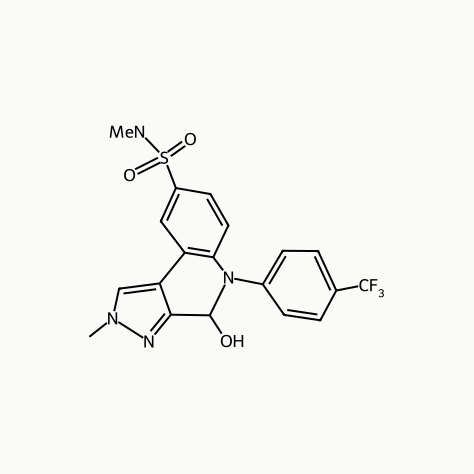 CNS(=O)(=O)c1ccc2c(c1)-c1cn(C)nc1C(O)N2c1ccc(C(F)(F)F)cc1